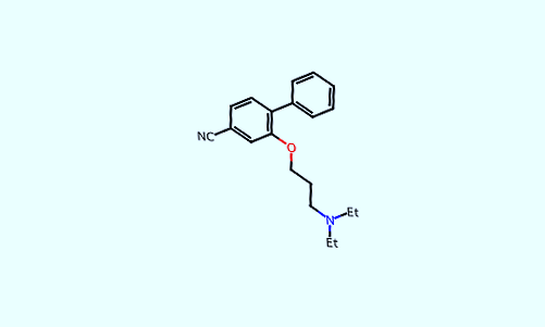 CCN(CC)CCCOc1cc(C#N)ccc1-c1ccccc1